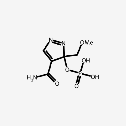 COCC1(OP(=O)(O)O)N=NC=C1C(N)=O